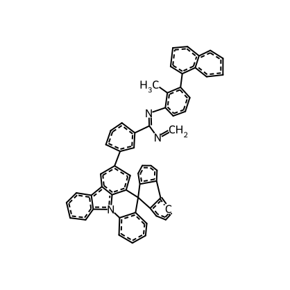 C=N/C(=N\c1cccc(-c2cccc3ccccc23)c1C)c1cccc(-c2cc3c4c(c2)c2ccccc2n4-c2ccccc2C32c3ccccc3-c3ccccc32)c1